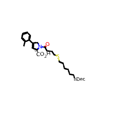 CCCCCCCCCCCCCCCCSCCCC(=O)N1CC(c2ccccc2C)=C[C@H]1C(=O)O